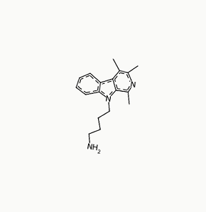 Cc1nc(C)c2c(c1C)c1ccccc1n2CCCCN